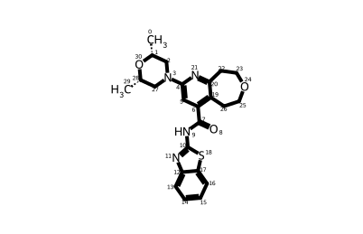 C[C@@H]1CN(c2cc(C(=O)Nc3nc4ccccc4s3)c3c(n2)CCOCC3)C[C@H](C)O1